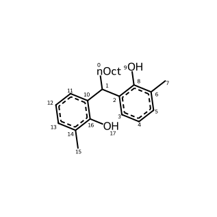 CCCCCCCCC(c1cccc(C)c1O)c1cccc(C)c1O